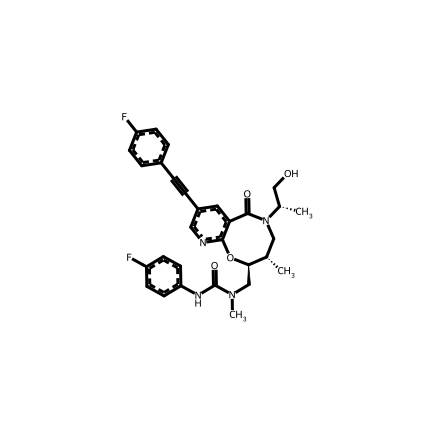 C[C@H]1CN([C@@H](C)CO)C(=O)c2cc(C#Cc3ccc(F)cc3)cnc2O[C@@H]1CN(C)C(=O)Nc1ccc(F)cc1